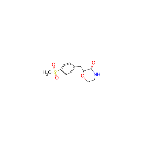 CS(=O)(=O)c1ccc(CC2OCCNC2=O)cc1